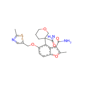 Cc1ncc(COc2ccc3oc(C)c(C(N)=O)c3c2C2(C(N)=O)CCCOC2)s1